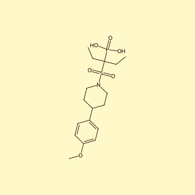 CCC(CC)(P(=O)(O)O)S(=O)(=O)N1CCC(c2ccc(OC)cc2)CC1